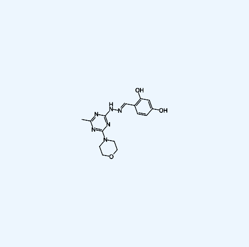 Cc1nc(NN=Cc2ccc(O)cc2O)nc(N2CCOCC2)n1